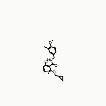 COc1ccc(CNC(=O)c2c(Cl)ccnc2OCC2CC2)cc1C